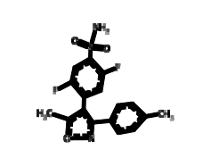 Cc1ccc(-c2noc(C)c2-c2cc(F)c(S(N)(=O)=O)cc2F)cc1